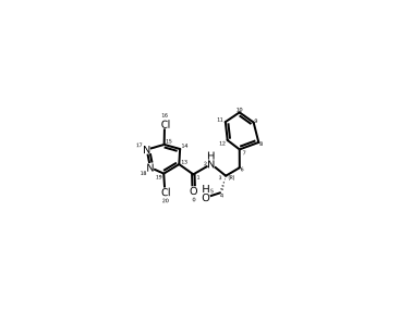 O=C(N[C@@H](CO)Cc1ccccc1)c1cc(Cl)nnc1Cl